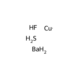 F.S.[BaH2].[Cu]